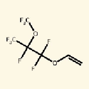 C=COC(F)(F)C(F)(OC(F)(F)F)C(F)(F)F